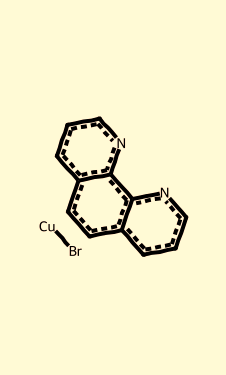 [Cu][Br].c1cnc2c(c1)ccc1cccnc12